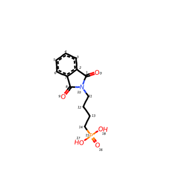 O=C1c2ccccc2C(=O)N1CCCCP(=O)(O)O